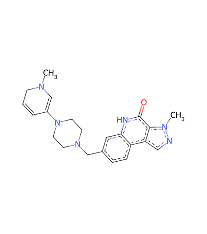 CN1C=C(N2CCN(Cc3ccc4c(c3)[nH]c(=O)c3c4cnn3C)CC2)C=CC1